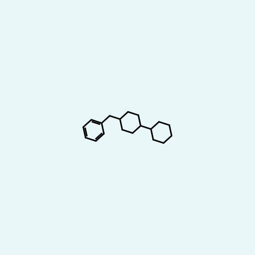 c1ccc(CC2CCC(C3CCCCC3)CC2)cc1